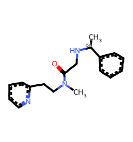 C[C@H](NCC(=O)N(C)CCc1ccccn1)c1ccccc1